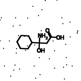 NC(O)(CC(=O)O)C1CCCCC1